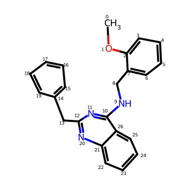 COc1ccccc1CNc1nc(Cc2ccccc2)nc2ccccc12